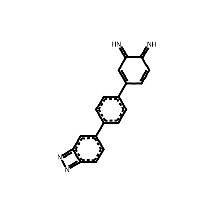 N=C1C=CC(c2ccc(-c3ccc4c(c3)=NN=4)cc2)=CC1=N